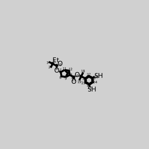 CCC(C)(C)C(=O)OC1CC2CC1CC2C(=O)OC(C)(C)c1cc(S)cc(S)c1